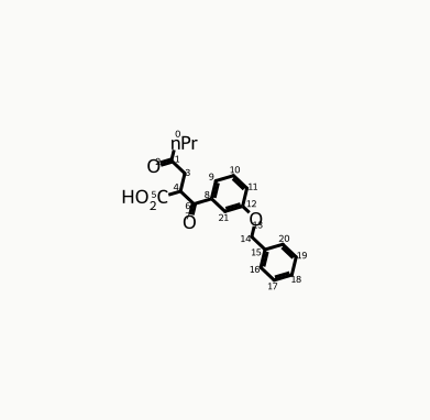 CCCC(=O)CC(C(=O)O)C(=O)c1cccc(OCc2ccccc2)c1